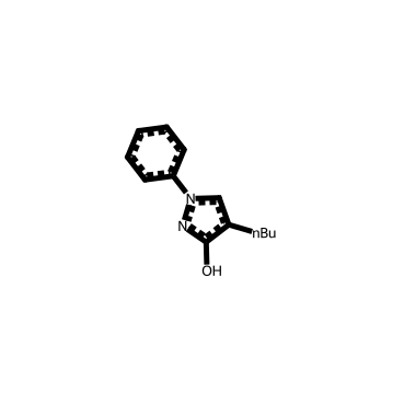 CCCCc1cn(-c2ccccc2)nc1O